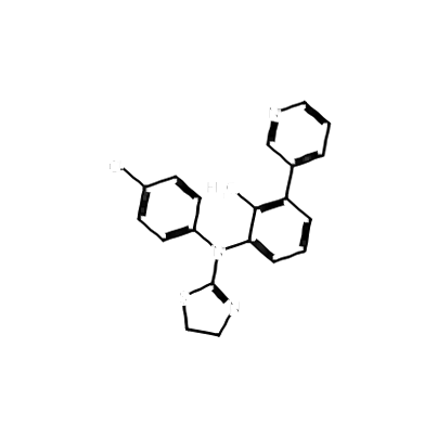 Cc1c(-c2cccnc2)cccc1N(C1=NCCS1)c1ccc(Cl)cc1